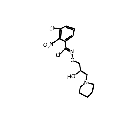 O=[N+]([O-])c1c(Cl)cccc1C(Cl)=NOCC(O)CN1CCCCC1